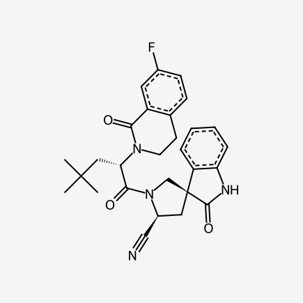 CC(C)(C)C[C@@H](C(=O)N1C[C@]2(C[C@H]1C#N)C(=O)Nc1ccccc12)N1CCc2ccc(F)cc2C1=O